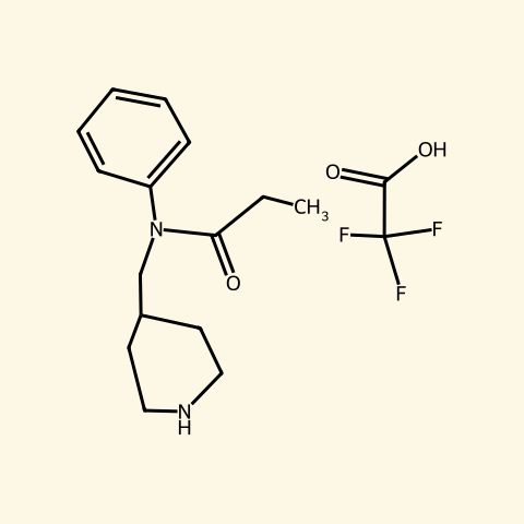 CCC(=O)N(CC1CCNCC1)c1ccccc1.O=C(O)C(F)(F)F